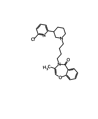 CC1=COc2ccccc2C(=O)N1CCCCN1CCCC(c2cccc(Cl)n2)C1